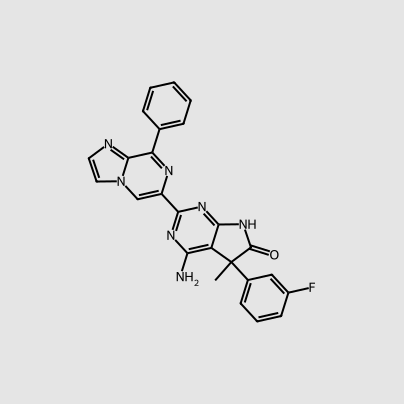 CC1(c2cccc(F)c2)C(=O)Nc2nc(-c3cn4ccnc4c(-c4ccccc4)n3)nc(N)c21